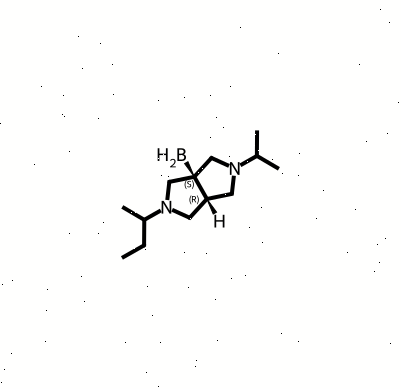 B[C@@]12CN(C(C)C)C[C@@H]1CN(C(C)CC)C2